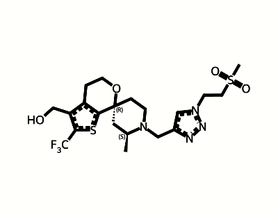 C[C@H]1C[C@@]2(CCN1Cc1cn(CCS(C)(=O)=O)nn1)OCCc1c2sc(C(F)(F)F)c1CO